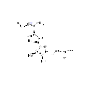 CC(C)C(=O)OC[C@H]1O[C@@H](c2ccc(/C(N)=N\C=N)[nH]2)[C@H](O)[C@@H]1O